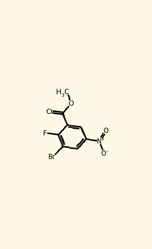 COC(=O)c1cc([N+](=O)[O-])cc(Br)c1F